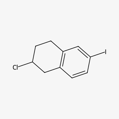 ClC1CCc2cc(I)ccc2C1